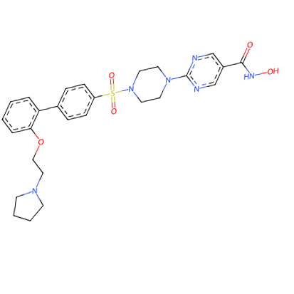 O=C(NO)c1cnc(N2CCN(S(=O)(=O)c3ccc(-c4ccccc4OCCN4CCCC4)cc3)CC2)nc1